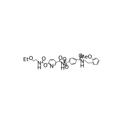 CCOCCNC(=O)Oc1ccc(C(=O)NS(=O)(=O)c2ccc(C(=O)NCCc3ccccc3OC)cc2)cn1